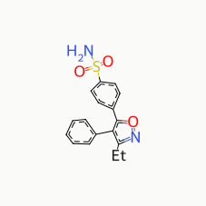 CCc1noc(-c2ccc(S(N)(=O)=O)cc2)c1-c1ccccc1